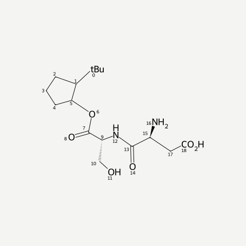 CC(C)(C)C1CCCC1OC(=O)[C@@H](CO)NC(=O)[C@@H](N)CC(=O)O